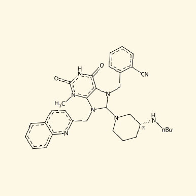 CCCCN[C@@H]1CCCN(C2N(Cc3ccccc3C#N)c3c(n(C)c(=O)[nH]c3=O)N2Cc2ccc3ccccc3n2)C1